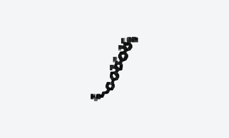 C=CCCC1CCC(C2CC=C(c3ccc(-c4ccc(-c5ccc(OCC)c(F)c5F)cc4)c(F)c3F)CC2)CC1